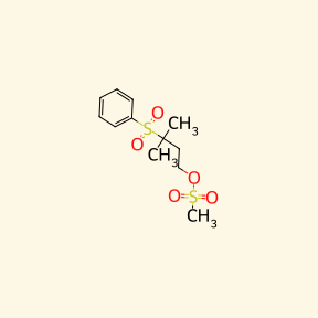 CC(C)(CCOS(C)(=O)=O)S(=O)(=O)c1ccccc1